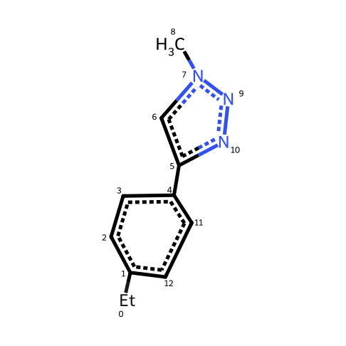 CCc1ccc(-c2cn(C)nn2)cc1